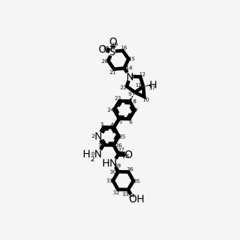 Nc1ncc(-c2ccc([C@@]34C[C@@H]3CN(C3CCS(=O)(=O)CC3)C4)cc2)cc1C(=O)NC1CCC(O)CC1